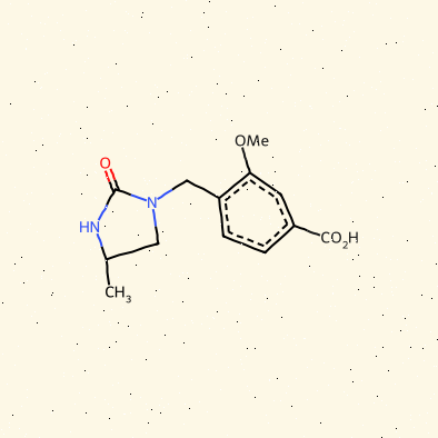 COc1cc(C(=O)O)ccc1CN1CC(C)NC1=O